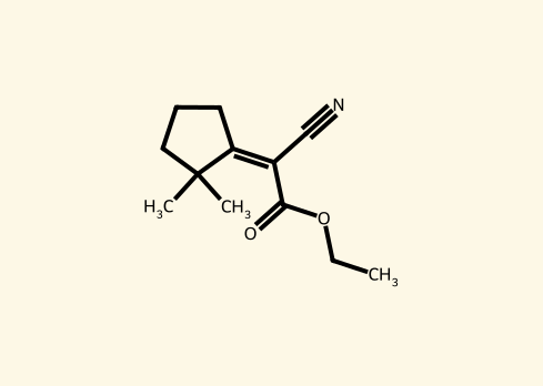 CCOC(=O)/C(C#N)=C1/CCCC1(C)C